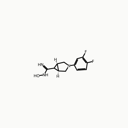 N=C(NO)C1[C@H]2CN(c3ccc(F)c(F)c3)C[C@@H]12